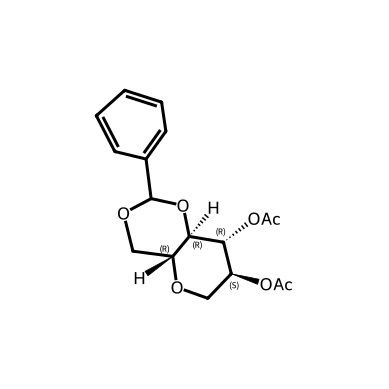 CC(=O)O[C@H]1[C@@H]2OC(c3ccccc3)OC[C@H]2OC[C@@H]1OC(C)=O